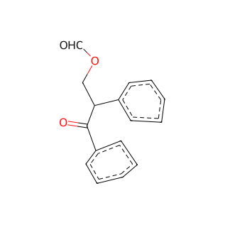 O=COCC(C(=O)c1ccccc1)c1ccccc1